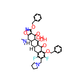 CN(C)[C@@H]1c2onc(OCc3ccccc3)c2C(=O)[C@@]2(O)C(O)=C3C(=O)c4c(c(F)c(CN5CCCC5)c(F)c4OCc4ccccc4)C[C@H]3C[C@@H]12